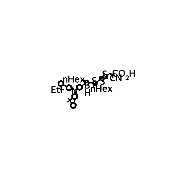 CCCCCCC1=C(c2ccc(N(c3ccc(-c4ccccc4C(C)(C)CC)cc3)c3ccc4c(c3)C(C)(C)c3ccccc3-4)cc2)BC(c2sc(-c3cc4sc(/C=C(\C#N)C(=O)O)cc4s3)cc2CCCCCC)=C1